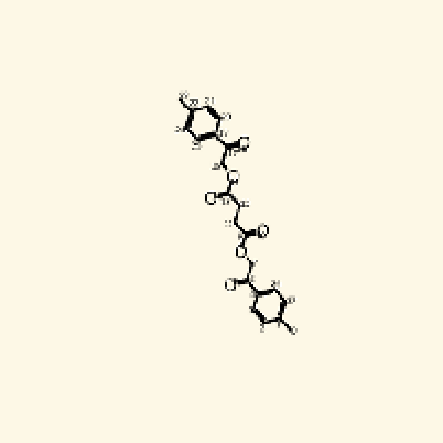 Cc1ccc(C(=O)COC(=O)CCC(=O)OCC(=O)c2ccc(C)cc2)cc1